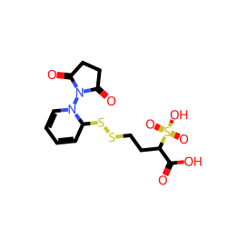 O=C(O)C(CCSSC1C=CC=CN1N1C(=O)CCC1=O)S(=O)(=O)O